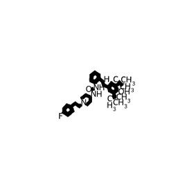 CC(C)(C)c1cc(CCc2ccccc2NC(=O)NC2CCN(CCc3ccc(F)cc3)CC2)cc(C(C)(C)C)c1O